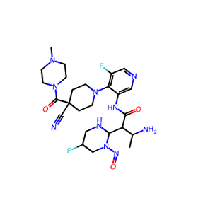 CC(N)C(C(=O)Nc1cncc(F)c1N1CCC(C#N)(C(=O)N2CCN(C)CC2)CC1)C1NCC(F)CN1N=O